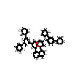 c1ccc(-c2ccc3c(c2)c2ccccc2n3-c2cccc(-c3cccc4cccc(-c5cccc(-c6nc(-c7ccccc7)nc(-c7ccccc7)n6)c5)c34)c2)cc1